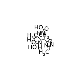 CCc1noc(C(CNC(=O)O)C(NC(=O)O)C(C)(C)C)n1